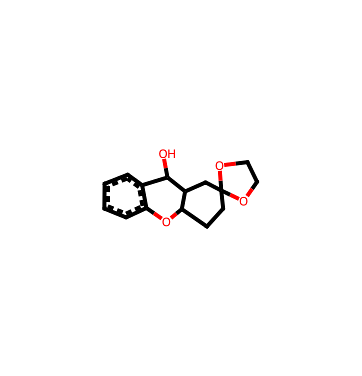 OC1c2ccccc2OC2CCC3(CC21)OCCO3